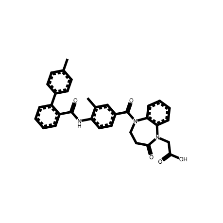 Cc1ccc(-c2ccccc2C(=O)Nc2ccc(C(=O)N3CCC(=O)N(CC(=O)O)c4ccccc43)cc2C)cc1